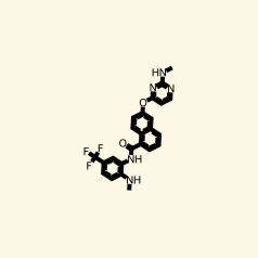 CNc1nccc(Oc2ccc3c(C(=O)Nc4cc(C(F)(F)F)ccc4NC)cccc3c2)n1